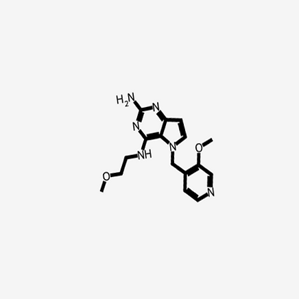 COCCNc1nc(N)nc2ccn(Cc3ccncc3OC)c12